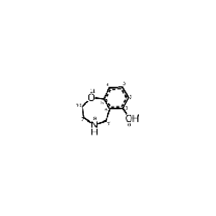 Oc1cccc2c1CNCCO2